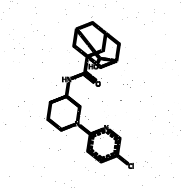 O=C(NC1CCCN(c2ccc(Cl)cn2)C1)C12CC3CC(C1)C(O)C(C3)C2